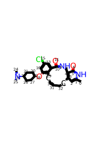 Cc1cc2c(c(=O)[nH]1)CNC(=O)c1cc(Cl)cc(O[C@H]3CC[C@H](N(C)C)CC3)c1CC=CCC2